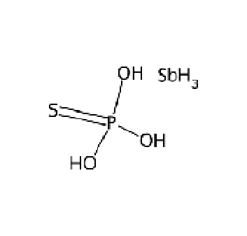 OP(O)(O)=S.[SbH3]